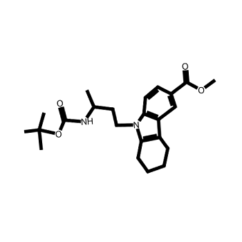 COC(=O)c1ccc2c(c1)c1c(n2CCC(C)NC(=O)OC(C)(C)C)CCCC1